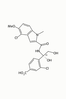 COc1ccc2c(cc(C(=O)N[C@@](O)(CO)c3ccc(C(=O)O)cc3Cl)n2C)c1Cl